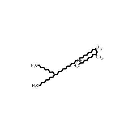 C=C(CCCCCCCNCCCCCCCCCCC(CCCCCCCC)CCCCCCCC)CC(C)CCCCCCCC